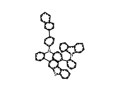 c1ccc(N(c2ccc(-c3ccc4ccccc4c3)cc2)c2ccc(-c3ccccc3-n3c4ccccc4c4ccccc43)cc2)c(-c2ccc3c(c2)sc2ccccc23)c1